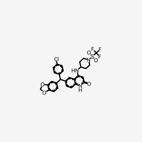 O=c1cc(NC2CCN(S(=O)(=O)C(F)(F)F)CC2)c2cc(C(c3ccc(Cl)cc3)c3ccc4c(c3)OCO4)ccc2[nH]1